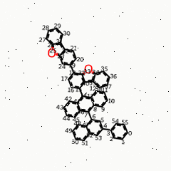 c1ccc(-c2cc(-c3c4ccccc4c(-c4ccc(-c5ccc6c(c5)oc5ccccc56)c5oc6ccccc6c45)c4ccccc34)c3ccccc3c2)cc1